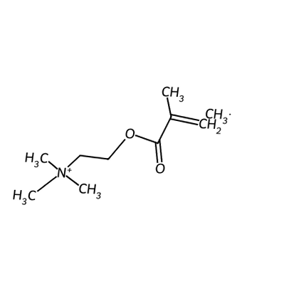 C=C(C)C(=O)OCC[N+](C)(C)C.[CH3]